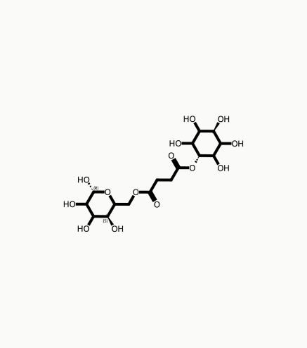 O=C(CCC(=O)O[C@H]1C(O)C(O)[C@H](O)C(O)C1O)OCC1O[C@@H](O)C(O)C(O)[C@@H]1O